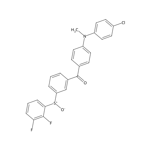 CN(c1ccc(Cl)cc1)c1ccc(C(=O)c2cccc([S+]([O-])c3cccc(F)c3F)c2)cc1